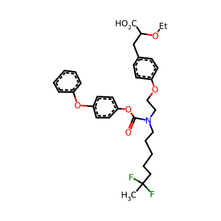 CCOC(Cc1ccc(OCCN(CCCCCC(C)(F)F)C(=O)Oc2ccc(Oc3ccccc3)cc2)cc1)C(=O)O